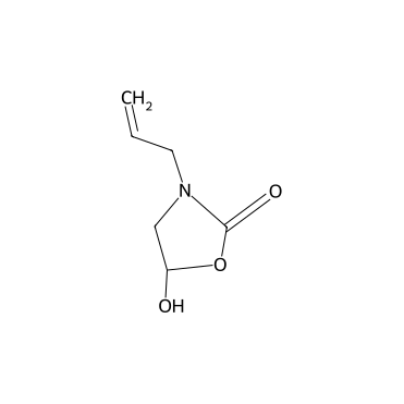 C=CCN1CC(O)OC1=O